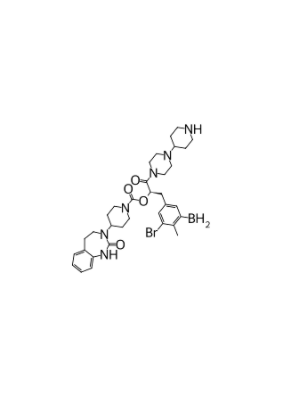 Bc1cc(C[C@@H](OC(=O)N2CCC(N3CCc4ccccc4NC3=O)CC2)C(=O)N2CCN(C3CCNCC3)CC2)cc(Br)c1C